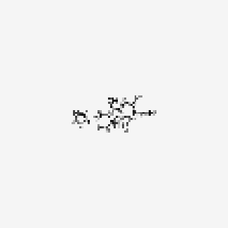 CN(c1cnc(C#N)c(F)c1)C1C=C(n2ccnc2)CCC1(C)C